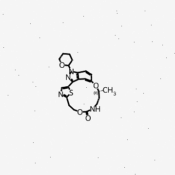 C[C@@H]1CCNC(=O)OCCc2ncc(s2)-c2nn(C3CCCCO3)c3ccc(cc23)O1